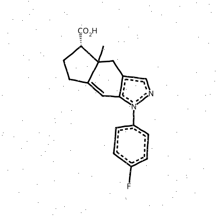 CC12Cc3cnn(-c4ccc(F)cc4)c3C=C1CC[C@@H]2C(=O)O